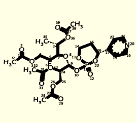 CC(=O)OC[C@H](F)C(O[C@H](OP1(=O)OCC[C@H](c2ccncc2)O1)[C@@H](COC(C)=O)OC(C)=O)[C@H](C)OC(C)=O